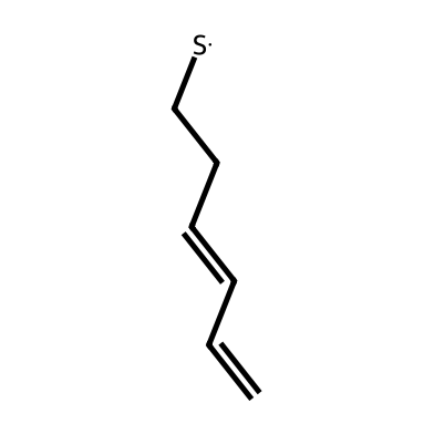 C=CC=CCC[S]